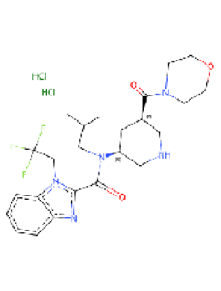 CC(C)CN(C(=O)c1nc2ccccc2n1CC(F)(F)F)[C@@H]1CNC[C@H](C(=O)N2CCOCC2)C1.Cl.Cl